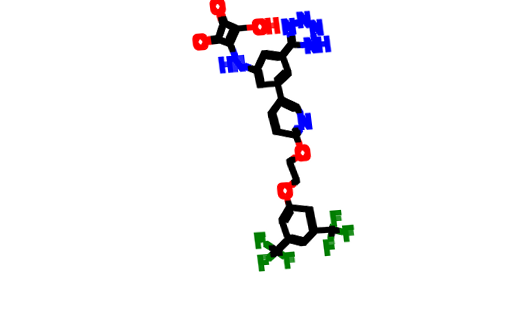 O=c1c(O)c(Nc2cc(-c3ccc(OCCOc4cc(C(F)(F)F)cc(C(F)(F)F)c4)nc3)cc(-c3nnn[nH]3)c2)c1=O